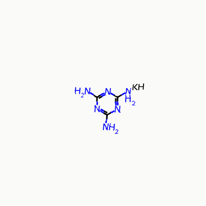 Nc1nc(N)nc(N)n1.[KH]